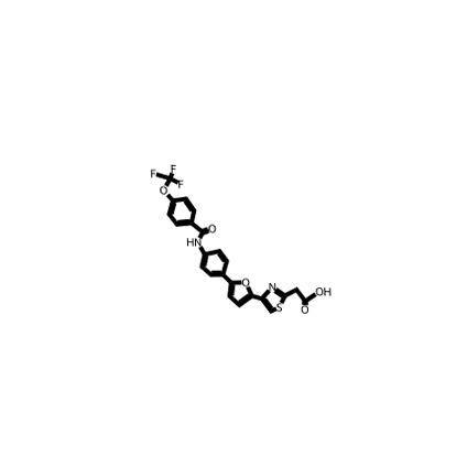 O=C(O)Cc1nc(-c2ccc(-c3ccc(NC(=O)c4ccc(OC(F)(F)F)cc4)cc3)o2)cs1